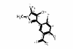 Cn1nc(-c2cc(C(=O)Cl)c(Cl)cc2F)c(Cl)c1C(F)(F)F